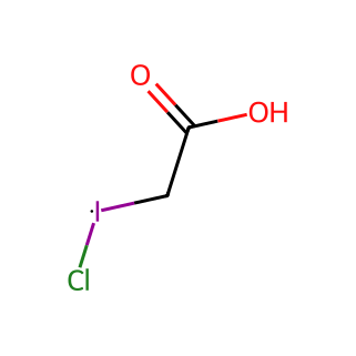 O=C(O)C[I]Cl